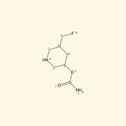 NC(=O)OC1CNCC(CF)C1